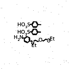 CCOCCOCCN(CC)c1ccc(N)cc1.Cc1ccc(S(=O)(=O)O)cc1.Cc1ccc(S(=O)(=O)O)cc1